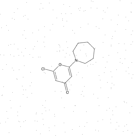 O=c1cc(Cl)oc(N2CCCCCC2)c1